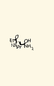 CCC(=O)[C@H](CCC(N)O)NC(C)C